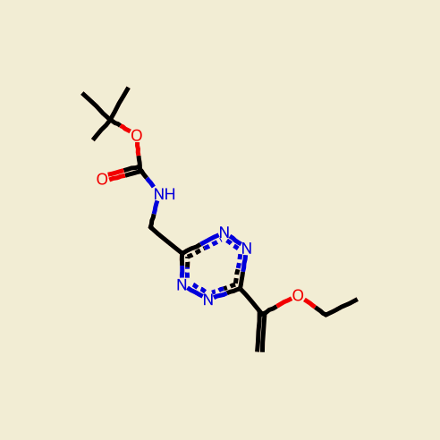 C=C(OCC)c1nnc(CNC(=O)OC(C)(C)C)nn1